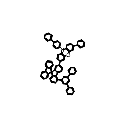 c1ccc(-c2ccc(N3c4ccc(-c5ccccc5)cc4Oc4cc(-c5ccc6c(c5)C5(c7ccccc7-c7ccccc75)c5cccc(-c7cc(-c8ccccc8)cc(-c8ccccc8)c7)c5-6)ccc43)cc2)cc1